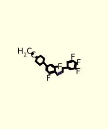 C=C=C1CCC(c2cc(F)c(/C=C\Cc3cc(F)c(F)c(F)c3)c(F)c2)CC1